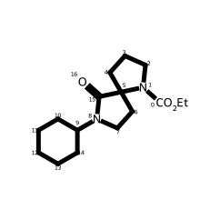 CCOC(=O)N1CCCC12CCN(C1CCCCC1)C2=O